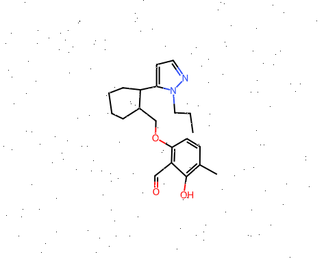 CCCn1nccc1C1CCCCC1COc1ccc(C)c(O)c1C=O